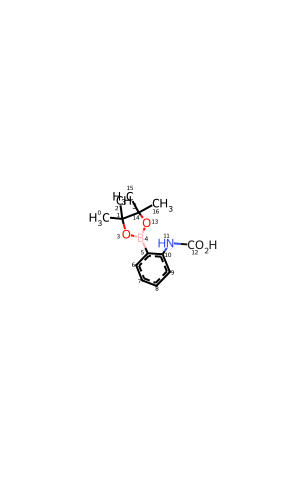 CC1(C)OB(c2ccccc2NC(=O)O)OC1(C)C